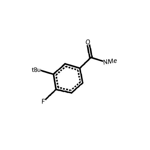 CNC(=O)c1ccc(F)c(C(C)(C)C)c1